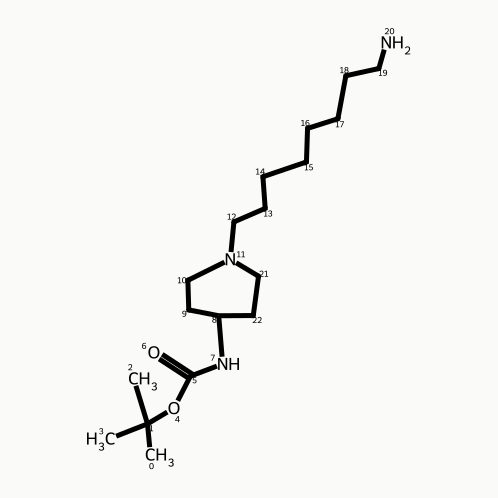 CC(C)(C)OC(=O)NC1CCN(CCCCCCCCN)CC1